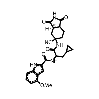 COc1cccc2[nH]c(C(=O)NC(CC3CC3)C(=O)NC3(C#N)CCC4C(=O)NC(=O)[C@@H]4C3)cc12